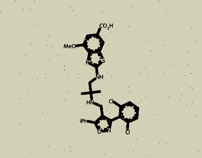 COc1cc(C(=O)O)cc2sc(NCC(C)(C)NCc3c(-c4c(Cl)cccc4Cl)noc3C(C)C)nc12